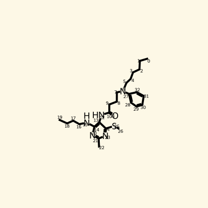 CCCCCCN(CCCC(=O)Nc1c(NCCCC)nc(C)nc1SC)c1ccccc1